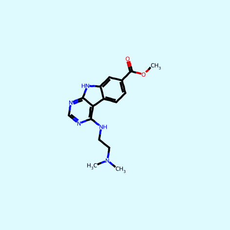 COC(=O)c1ccc2c(c1)[nH]c1ncnc(NCCN(C)C)c12